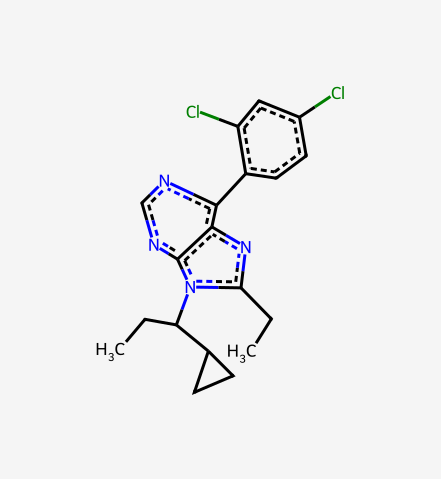 CCc1nc2c(-c3ccc(Cl)cc3Cl)ncnc2n1C(CC)C1CC1